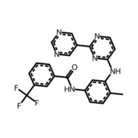 Cc1ccc(NC(=O)c2cccc(C(F)(F)F)c2)cc1Nc1ccnc(-c2cncnc2)n1